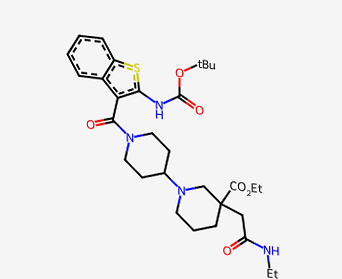 CCNC(=O)CC1(C(=O)OCC)CCCN(C2CCN(C(=O)c3c(NC(=O)OC(C)(C)C)sc4ccccc34)CC2)C1